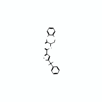 O=C(NC1COc2ccccc2NC1=O)c1cc(C(F)(F)c2ccccc2)on1